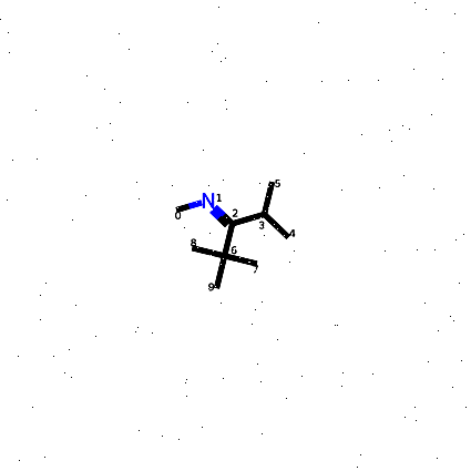 CN=C(C(C)C)C(C)(C)C